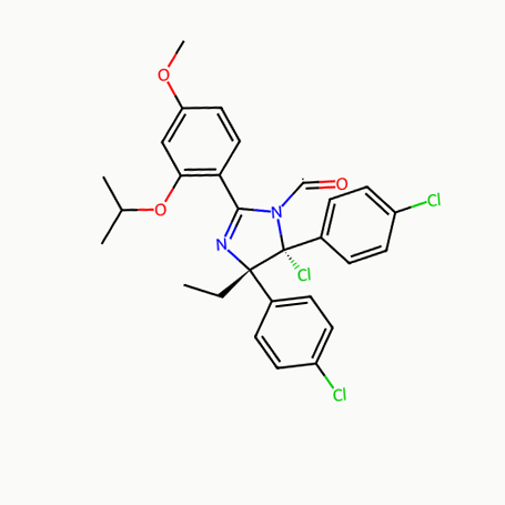 CC[C@@]1(c2ccc(Cl)cc2)N=C(c2ccc(OC)cc2OC(C)C)N([C]=O)[C@@]1(Cl)c1ccc(Cl)cc1